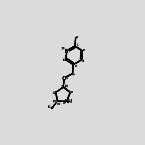 Cc1ccc(CO[C@H]2CN[C@@H](C)C2)cn1